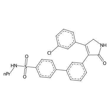 CCCNS(=O)(=O)c1ccc(-c2cccc(C3=C(c4cccc(Cl)c4)CNC3=O)c2)cc1